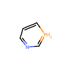 C1=C[PH2]=CN=C1